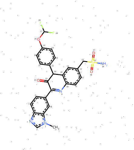 Cn1cnc2ccc(C3=Nc4ccc(CS(N)(=O)=O)cc4C(c4ccc(OC(F)F)cc4)C3=O)cc21